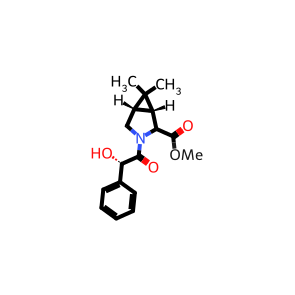 COC(=O)C1[C@@H]2[C@H](CN1C(=O)[C@@H](O)c1ccccc1)C2(C)C